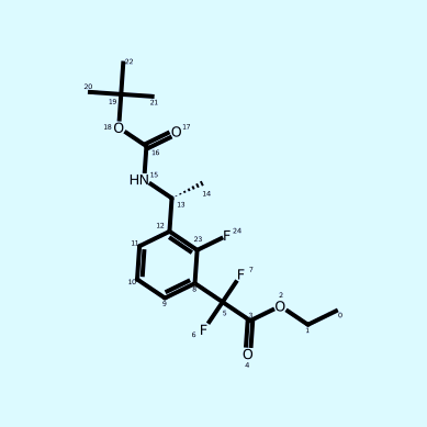 CCOC(=O)C(F)(F)c1cccc([C@@H](C)NC(=O)OC(C)(C)C)c1F